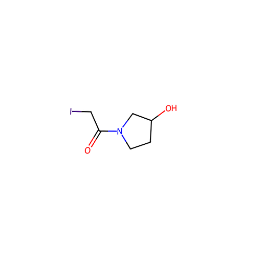 O=C(CI)N1CCC(O)C1